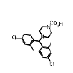 Cc1cc(Cl)ccc1C(c1ccc(Cl)cc1C)N1CCN(C(=O)O)CC1